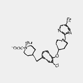 CCc1cnc(N2CCC(Oc3ccc(CC4CC[N+](C(=O)[O-])(C(C)(C)C)CC4)cc3Cl)CC2)nc1